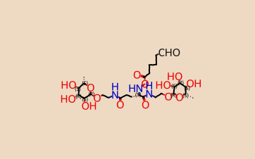 C[C@@H]1O[C@@H](OCCNC(=O)CC[C@H](NOC(=O)CCCCC=O)C(=O)NCCO[C@@H]2O[C@@H](C)[C@@H](O)[C@@H](O)[C@@H]2O)[C@@H](O)[C@H](O)[C@@H]1O